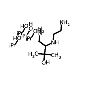 CC(C)(O)C(CN)NCCN.CC(C)O.CC(C)O.CC(C)O.CC(C)O